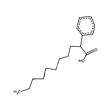 CCCCCCCCCC(C(=O)O)c1ccccc1